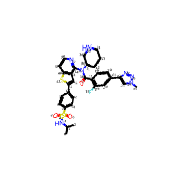 CC(C)NS(=O)(=O)c1ccc(-c2cc3c(N(C(=O)c4ccc(-c5cn(C)nn5)cc4F)[C@@H]4CCCNC4)nccc3s2)cc1